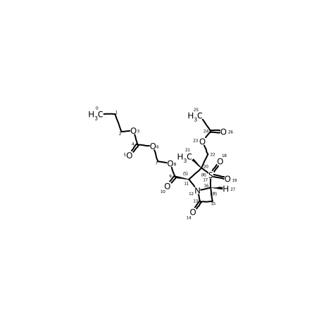 CCCOC(=O)OCOC(=O)[C@@H]1N2C(=O)C[C@H]2S(=O)(=O)[C@@]1(C)COC(C)=O